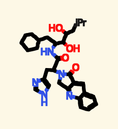 CC(C)CC(O)C(O)C(CC1CCCCC1)NC(=O)C(Cc1c[nH]cn1)N1Cc2nc3ccccc3cc2C1=O